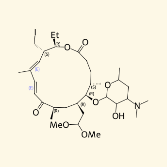 CC[C@H]1OC(=O)CC[C@H](C)[C@@H](OC2OC(C)CC(N(C)C)C2O)[C@@H](CC(OC)OC)C[C@@H](C)C(=O)/C=C/C(C)=C/[C@@H]1CI